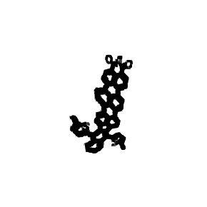 Cc1ccc(-c2c3c(c(-c4ccc(C)s4)c4ccccc24)-c2ccc4c5ccc6c7ccc8c9c(ccc(c%10ccc(c%11ccc-3c2c%114)c5c%106)c97)C(=O)N(C)C8=O)s1